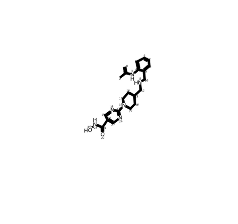 C=C(C)Nc1ccccc1CNCC1CCN(c2ncc(C(=O)NO)cn2)CC1